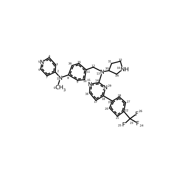 CN(c1ccncc1)c1ccc(CN(c2nccc(-c3ccc(C(F)(F)F)cc3)n2)C2CCNC2)cc1